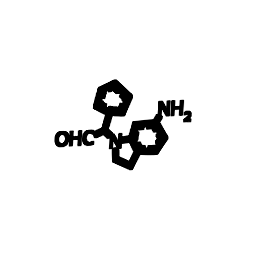 Nc1ccc2c(c1)N(C(C=O)c1ccccc1)CC2